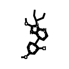 CCC(CC)n1c(OC)nc2c(-c3ccc(OC)cc3Cl)ccnc21